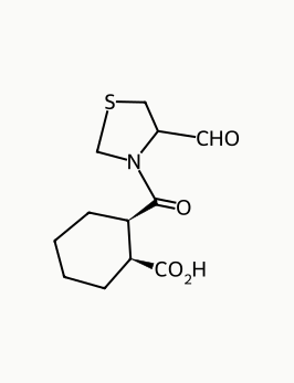 O=CC1CSCN1C(=O)[C@@H]1CCCC[C@@H]1C(=O)O